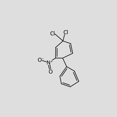 O=[N+]([O-])C1=CC(Cl)(Cl)C=CC1c1ccccc1